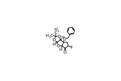 CC1(C)O[C@H]2O[C@@H]3C(=O)C(F)CC3(OCc3ccccc3)[C@H]2O1